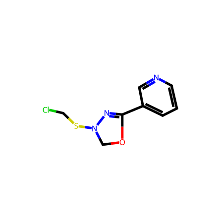 ClCSN1COC(c2cccnc2)=N1